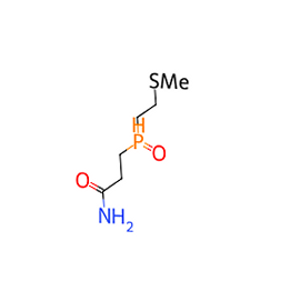 CSCC[PH](=O)CCC(N)=O